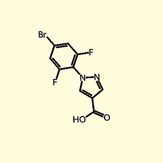 O=C(O)c1cnn(-c2c(F)cc(Br)cc2F)c1